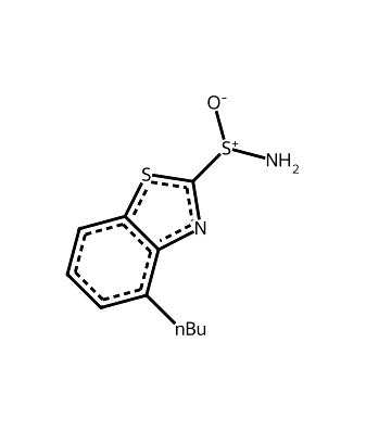 CCCCc1cccc2sc([S+](N)[O-])nc12